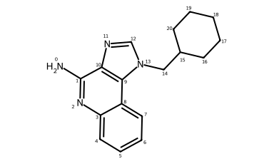 Nc1nc2ccccc2c2c1ncn2CC1CCCCC1